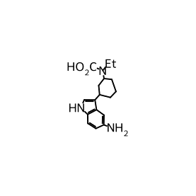 CCN(C(=O)O)C1CCCC(c2c[nH]c3ccc(N)cc23)C1